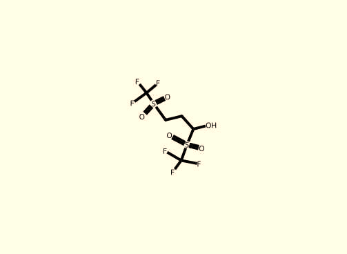 O=S(=O)(CCC(O)S(=O)(=O)C(F)(F)F)C(F)(F)F